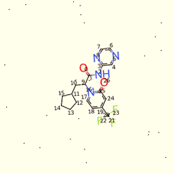 O=C(Nc1cnccn1)C(CC1CCCC1)n1ccc(C(F)(F)F)cc1=O